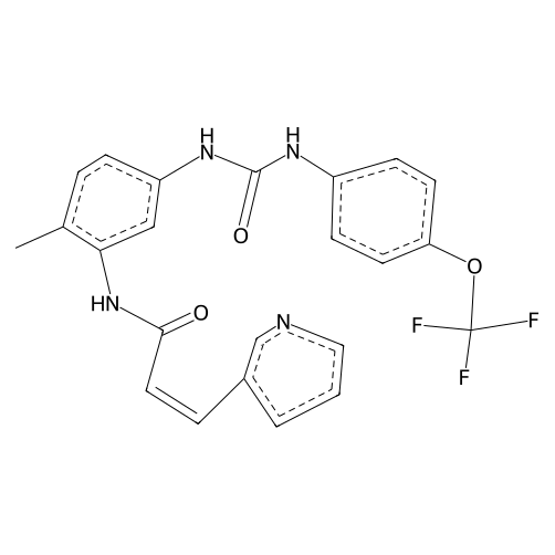 Cc1ccc(NC(=O)Nc2ccc(OC(F)(F)F)cc2)cc1NC(=O)/C=C\c1cccnc1